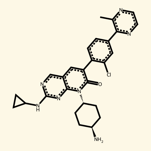 Cc1nccnc1-c1ccc(-c2cc3cnc(NC4CC4)nc3n([C@H]3CC[C@H](N)CC3)c2=O)c(Cl)c1